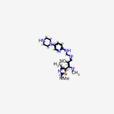 C=N/C(=C(C#N)\C=N/CNc1ccc(N2CCNCC2)cn1)c1sc(NC)nc1C